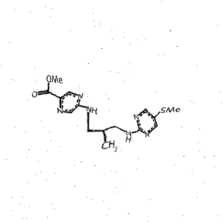 COC(=O)c1cnc(NCC(C)CNc2ncc(SC)cn2)cn1